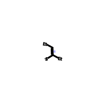 CC/C=C(\[S])CC